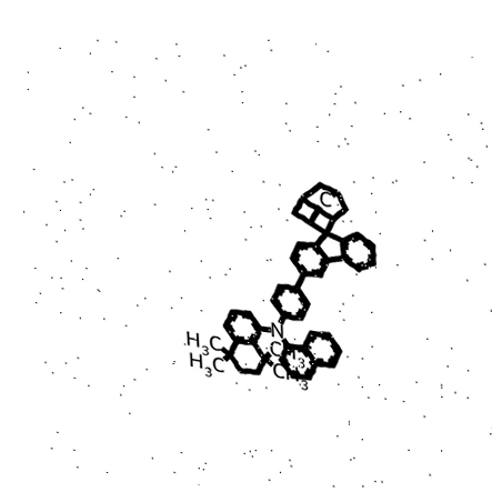 CC1(C)CCC(C)(C)c2c(N(c3ccc(-c4ccc5c(c4)-c4ccccc4C54C5CC6CC7CC4C75C6)cc3)c3cccc4ccccc34)cccc21